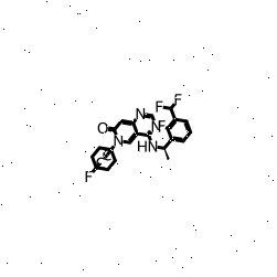 C[C@@H](Nc1ncnc2cc(=O)n(C34CCC(F)(CC3)CC4)cc12)c1cccc(C(F)F)c1F